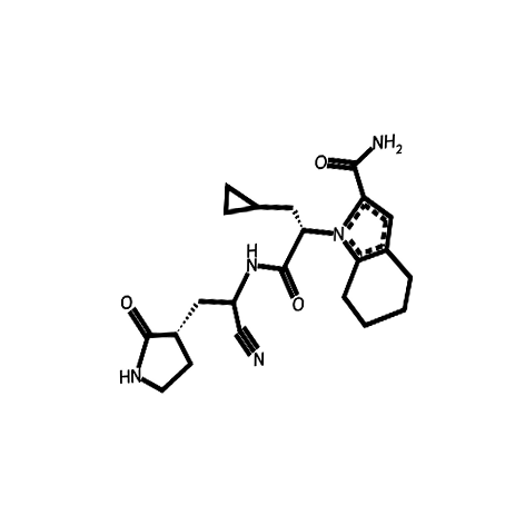 N#CC(C[C@@H]1CCNC1=O)NC(=O)[C@H](CC1CC1)n1c(C(N)=O)cc2c1CCCC2